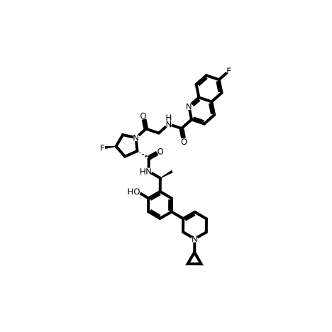 C[C@H](NC(=O)[C@@H]1C[C@@H](F)CN1C(=O)CNC(=O)c1ccc2cc(F)ccc2n1)c1cc(C2=CCCN(C3CC3)C2)ccc1O